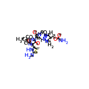 C=NN(CC1C(NC(=O)/C(=N\OC(C)(C)C(=O)O)C2=CSC(N)N2)C(=O)N1S(=O)(=O)O)/N=C\CCOC(N)=O